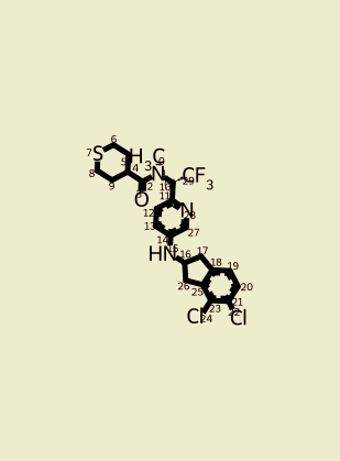 CN(C(=O)C1CCSCC1)[C@@H](c1ccc(NC2Cc3ccc(Cl)c(Cl)c3C2)cn1)C(F)(F)F